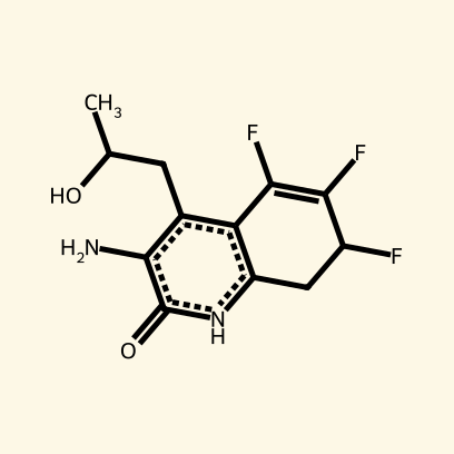 CC(O)Cc1c2c([nH]c(=O)c1N)CC(F)C(F)=C2F